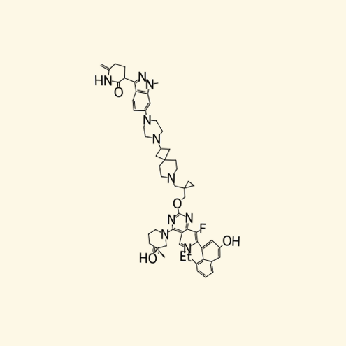 C=C1CCC(c2nn(C)c3cc(N4CCN(C5CC6(CCN(CC7(COc8nc(N9CCC[C@@](C)(O)C9)c9cnc(-c%10cc(O)cc%11cccc(CC)c%10%11)c(F)c9n8)CC7)CC6)C5)CC4)ccc23)C(=O)N1